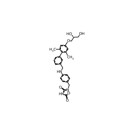 Cc1cc(OC[C@@H](O)CO)cc(C)c1-c1cccc(CNc2ccc(Cn3oc(=O)[nH]c3=O)cc2)c1